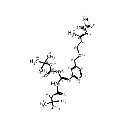 CC(C)(C)OC(=O)NC(=Nc1cc(CSCC/C(N)=N/S(N)(=O)=O)ccn1)NC(=O)OC(C)(C)C